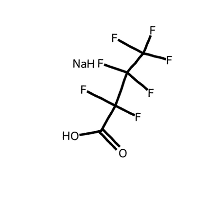 O=C(O)C(F)(F)C(F)(F)C(F)(F)F.[NaH]